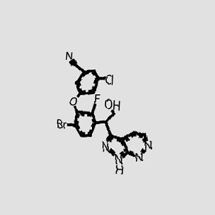 N#Cc1cc(Cl)cc(Oc2c(Br)ccc(C(CO)c3n[nH]c4nnccc34)c2F)c1